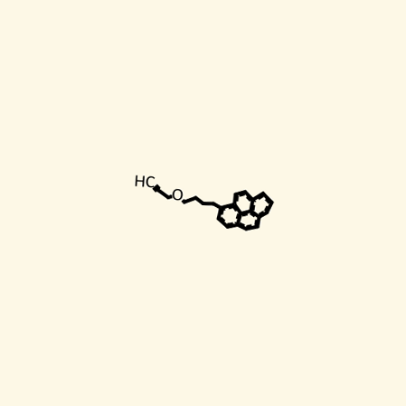 C#CCOCCCCc1ccc2ccc3cccc4ccc1c2c34